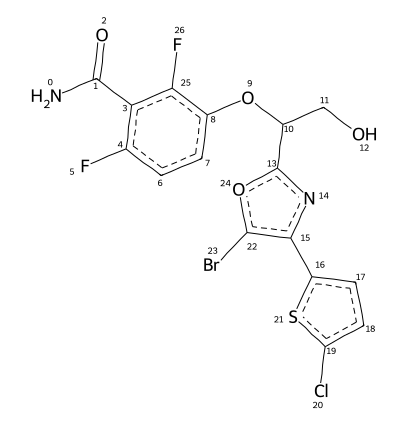 NC(=O)c1c(F)ccc(OC(CO)c2nc(-c3ccc(Cl)s3)c(Br)o2)c1F